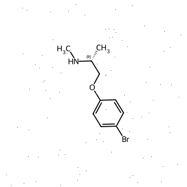 CN[C@H](C)COc1ccc(Br)cc1